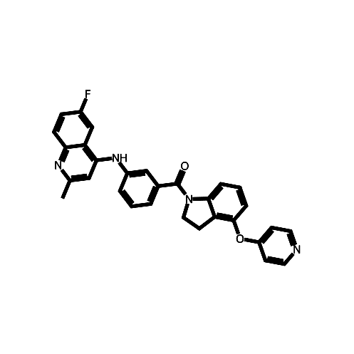 Cc1cc(Nc2cccc(C(=O)N3CCc4c(Oc5ccncc5)cccc43)c2)c2cc(F)ccc2n1